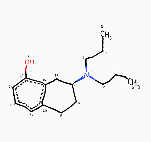 CCCN(CCC)[C@H]1CCc2cccc(O)c2C1